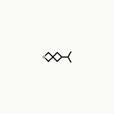 CC(C)C1CC2(COC2)C1